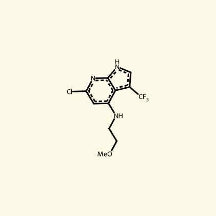 COCCNc1cc(Cl)nc2[nH]cc(C(F)(F)F)c12